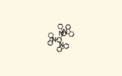 C1=CC2c3ccccc3N(c3cc(-c4cc(C5CC=CCC5c5ccccc5)nc(C5CC=CCC5)n4)cc(-n4c5c(c6ccccc64)CCCC5)c3)C2C=C1